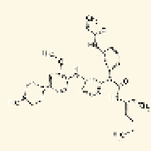 C=CC(=O)Nc1cccc(N(C(=O)N/C(C=C)=C/C=C\C)c2cc(Nc3ccc(N4CCN(C)CC4)cc3OC)ncn2)c1